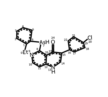 CCc1ccccc1[AsH]c1nccc2[nH]cc(-c3ccc(Cl)cc3)c(=O)c12